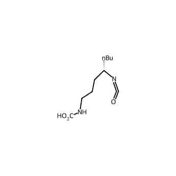 CCCC[C@@H](CCCNC(=O)O)N=C=O